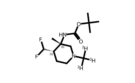 [2H]C([2H])([2H])N1CC[C@H](C(F)F)[C@](C)(NC(=O)OC(C)(C)C)C1